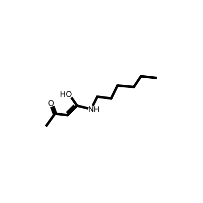 CCCCCCN/C(O)=C/C(C)=O